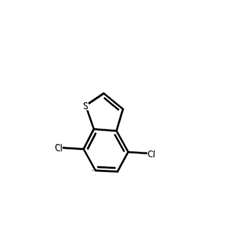 Clc1c[c]c(Cl)c2sccc12